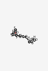 C[C@@H]1CN(c2cc(F)c(-c3cnc(N4CCN(C(=O)CCCNc5cccc6c5C(=O)N(C5CCC(=O)NC5=O)C6=O)CC4)nc3)cc2NC(=O)c2ccc(F)cc2C(F)(F)F)C[C@H](C)N1C